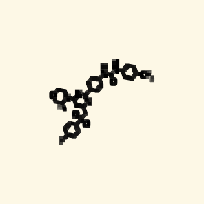 C[C@H]1COCCN1c1cc(CS(=O)(=O)c2ccc(F)cc2)nc(-c2ccc(NC(=O)Nc3ccc(C(F)(F)F)cc3)cc2)n1